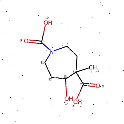 CC1(C(=O)O)CCN(C(=O)O)CCC1O